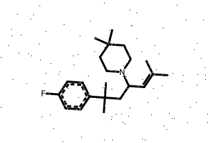 CC(C)=CC(CC(C)(C)c1ccc(F)cc1)N1CCC(C)(C)CC1